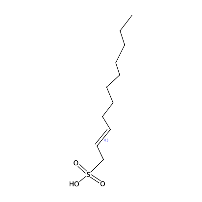 CCCCCCCC/C=C/CS(=O)(=O)O